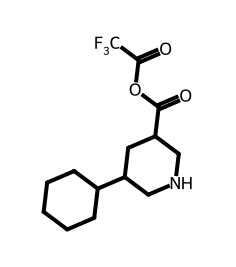 O=C(OC(=O)C(F)(F)F)C1CNCC(C2CCCCC2)C1